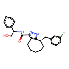 O=C(N[C@@H](CO)c1ccccc1)c1n[nH]c2c1CCCCC[C@@H]2Cc1cccc(Cl)c1